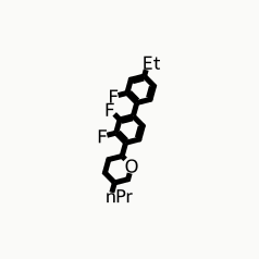 CCCC1CCC(c2ccc(-c3ccc(CC)cc3F)c(F)c2F)OC1